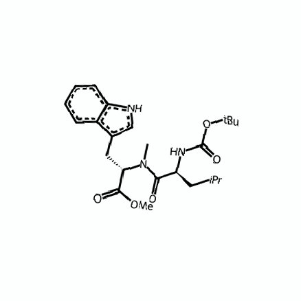 COC(=O)[C@H](Cc1c[nH]c2ccccc12)N(C)C(=O)[C@H](CC(C)C)NC(=O)OC(C)(C)C